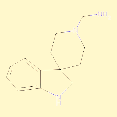 NCN1CCC2(CC1)CNc1ccccc12